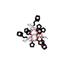 C[Si](C)(CCC1CC2C=CC1C2)O[Si]1(C2CCCC2)O[Si]2(C3CCCC3)O[Si](O[Si](C)(C)CCC3CC4C=CC3C4)(C3CCCC3)O[Si]3(C4CCCC4)O[Si](O[Si](C)(C)CCC4CC5C=CC4C5)(C4CCCC4)O[Si](C4CCCC4)(O1)O[Si](C1CCCC1)(O2)O3